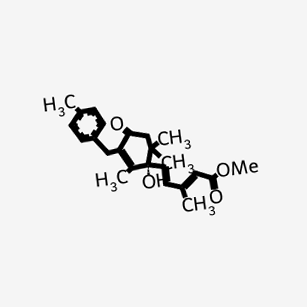 COC(=O)C=C(C)C=C[C@@]1(O)C(C)=C(Cc2ccc(C)cc2)C(=O)CC1(C)C